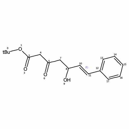 CC(C)(C)OC(=O)CC(=O)CC(O)/C=C/c1ccccc1